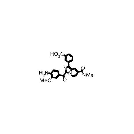 CNC(=O)c1ccn2c(C(=O)c3ccc(N)c(OC)c3)nc(-c3cccc(C(=O)O)c3)c2c1